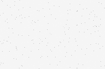 Nc1ccc(N2CCCC2O)nc1N1CCCC1